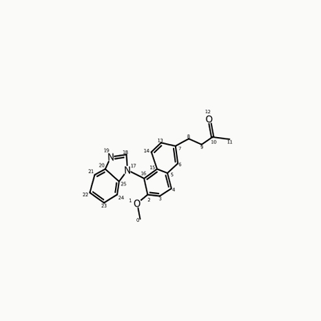 COc1ccc2cc(CCC(C)=O)ccc2c1-n1cnc2ccccc21